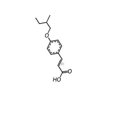 CCC(C)COc1ccc(/C=C/C(=O)O)cc1